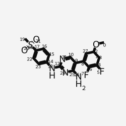 COC1[CH]C(F)=C(F)C(c2cnc(Nc3ccc(S(C)(=O)=O)cc3)nc2N)=C1